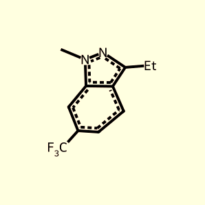 CCc1nn(C)c2cc(C(F)(F)F)ccc12